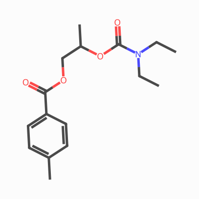 CCN(CC)C(=O)OC(C)COC(=O)c1ccc(C)cc1